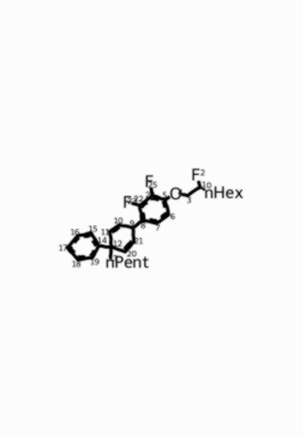 CCCCCC[C@H](F)COc1ccc(C2C=CC(CCCCC)(c3ccccc3)C=C2)c(F)c1F